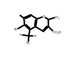 [2H]C([2H])([2H])c1c(Br)c(C)cc2c1C=C(C(=O)OCC)C(C(F)(F)F)O2